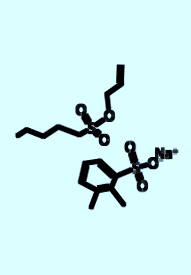 C=CCOS(=O)(=O)CCCCC.Cc1cccc(S(=O)(=O)[O-])c1C.[Na+]